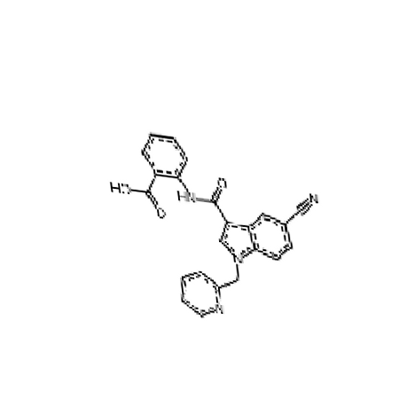 N#Cc1ccc2c(c1)c(C(=O)Nc1ccccc1C(=O)O)cn2Cc1ccccn1